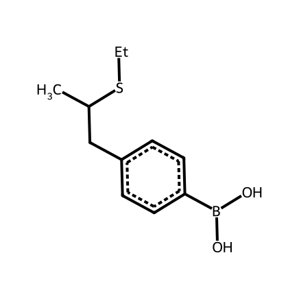 CCSC(C)Cc1ccc(B(O)O)cc1